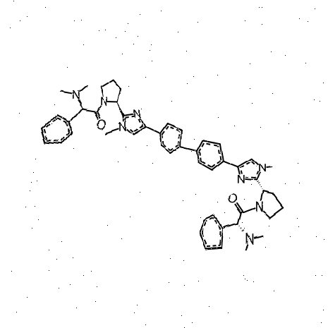 CN(C)[C@@H](C(=O)N1CCC[C@H]1c1nc(-c2ccc(-c3ccc(-c4cn(C)c([C@@H]5CCCN5C(=O)[C@@H](c5ccccc5)N(C)C)n4)cc3)cc2)cn1C)c1ccccc1